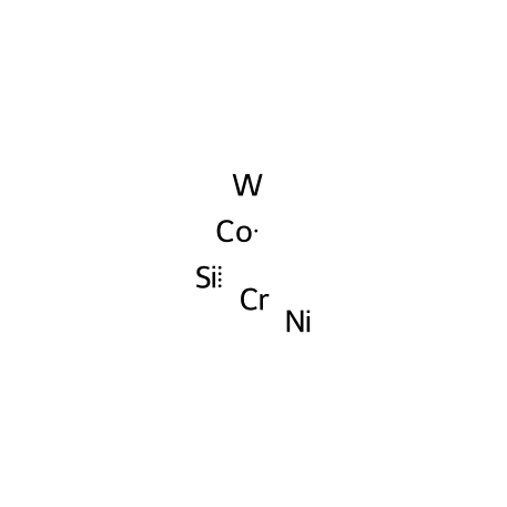 [Co].[Cr].[Ni].[Si].[W]